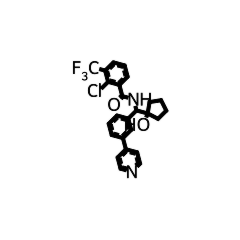 O=C(NC(c1cccc(-c2ccncc2)c1)C1(O)CCCC1)c1cccc(C(F)(F)F)c1Cl